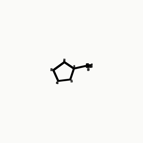 [Sn][CH]1CCCC1